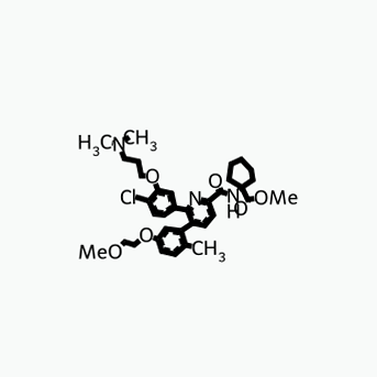 COCCOc1ccc(C)c(-c2ccc(C(=O)NC3(C(=O)OC)CCCCC3)nc2-c2ccc(Cl)c(OCCCN(C)C)c2)c1